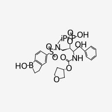 CC(C)CN(C[C@@H](OP(=O)(O)O)C(Cc1ccccc1)NC(=O)O[C@H]1CCOC1)S(=O)(=O)c1ccc2c(c1)CCB2O